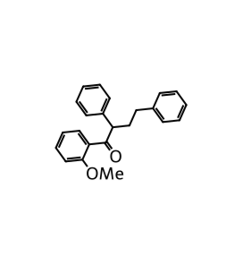 COc1ccccc1C(=O)C(CCc1ccccc1)c1ccccc1